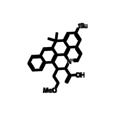 C=C(O)C1C(CCOC)c2c3c(cc4ccccc24)C(C)(C)c2cc(C(C)(C)C)cc4cc[n+]1c-3c24